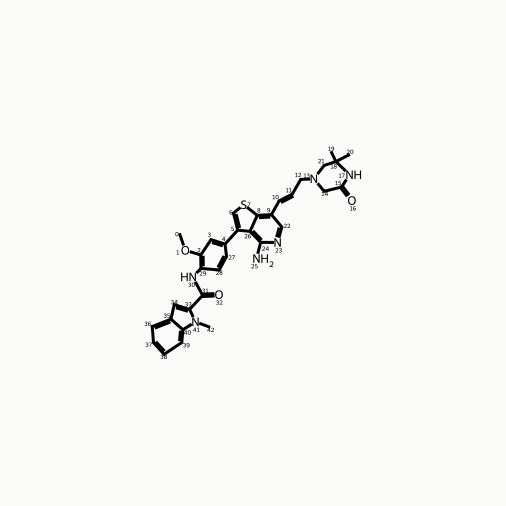 COc1cc(-c2csc3c(C=CCN4CC(=O)NC(C)(C)C4)cnc(N)c23)ccc1NC(=O)c1cc2ccccc2n1C